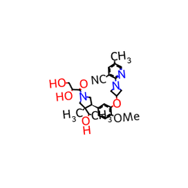 COc1ccc([C@@H]2CN(C(=O)[C@@H](O)CO)C[C@@]2(C)[C@@H](C)O)cc1OC1CN(c2ncc(C)cc2C#N)C1